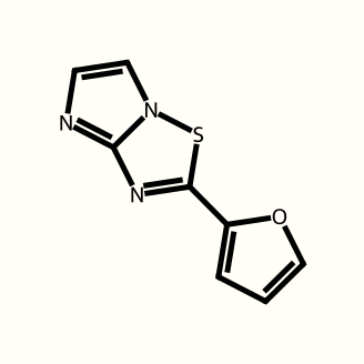 c1coc(-c2nc3nccn3s2)c1